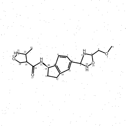 COCC1NC(c2ccc3c(c2)CC[C@H]3NC(=O)C2CONC2C)NO1